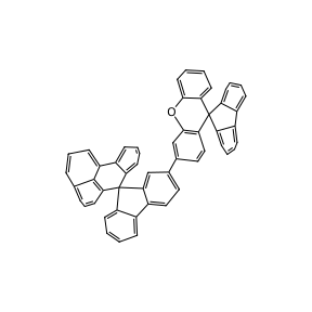 c1ccc2c(c1)Oc1cc(-c3ccc4c(c3)C3(c5ccccc5-4)c4ccccc4-c4cccc5cccc3c45)ccc1C21c2ccccc2-c2ccccc21